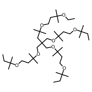 CCOC(C)(C)CCOC(C)(C)CC(COC(C)(C)CCOC(C)(C)CC)(COC(C)(C)CCOC(C)(C)CC)COC(C)(C)CCOC(C)(C)CC